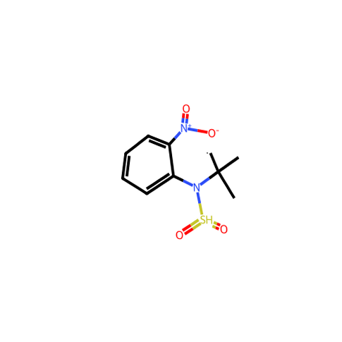 [CH2]C(C)(C)N(c1ccccc1[N+](=O)[O-])[SH](=O)=O